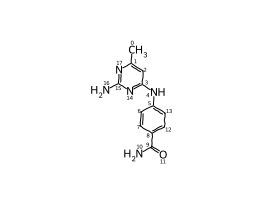 Cc1cc(Nc2ccc(C(N)=O)cc2)nc(N)n1